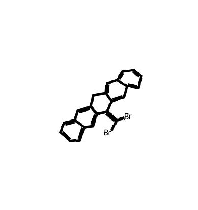 BrC(Br)=C1c2cc3ccccc3cc2Cc2cc3ccccc3cc21